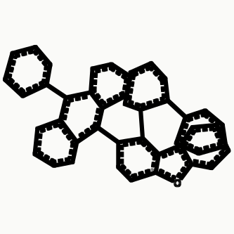 c1ccc(-c2ccccc2-c2c(-c3c4ccccc4c(-c4ccccc4)c4ccccc34)ccc3oc4ccccc4c23)cc1